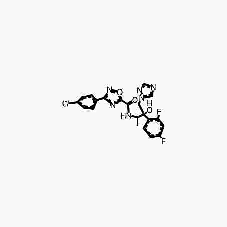 C[C@@H](NC(=O)c1nc(-c2ccc(Cl)cc2)no1)[C@](O)(Cn1cncn1)c1ccc(F)cc1F